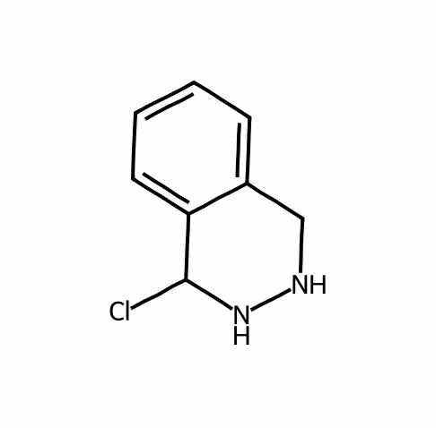 ClC1NNCc2ccccc21